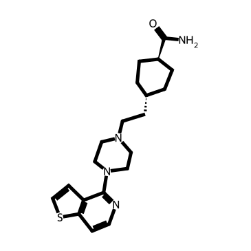 NC(=O)[C@H]1CC[C@H](CCN2CCN(c3nccc4sccc34)CC2)CC1